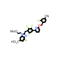 COCCn1c(Cc2c(F)cc(-c3cccc(OCc4ccc(C#N)cc4F)n3)c(F)c2F)nc2c(F)cc(C(=O)O)cc21